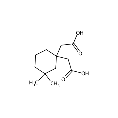 CC1(C)CCCC(CC(=O)O)(CC(=O)O)C1